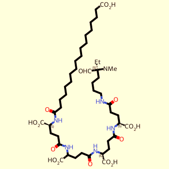 CC[C@@](C=O)(CCCCNC(=O)CC[C@H](NC(=O)CC[C@H](NC(=O)CCC(NC(=O)CC[C@H](NC(=O)CCCCCCCCCCCCCCCCC(=O)O)C(=O)O)C(=O)O)C(=O)O)C(=O)O)NC